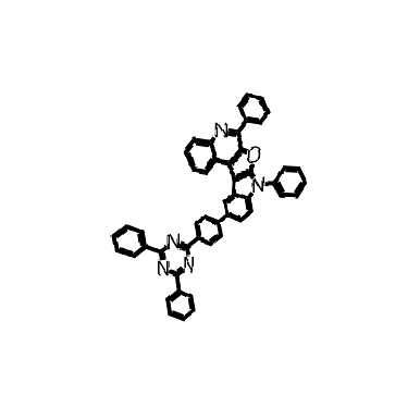 c1ccc(-c2nc(-c3ccccc3)nc(-c3ccc(-c4ccc5c(c4)c4c6c(oc4n5-c4ccccc4)c(-c4ccccc4)nc4ccccc46)cc3)n2)cc1